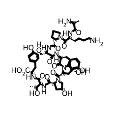 C[C@H](N)C(=O)N[C@@H](CCCCN)C(=O)N1CCC[C@H]1C(=O)N[C@@H](CO)C(=O)N[C@@H](Cc1ccc(O)cc1)C(=O)N1C[C@H](O)C[C@H]1C(=O)N1C[C@H](O)C[C@H]1C(=O)N[C@H](C(=O)N[C@@H](Cc1ccc(O)cc1)C(=O)O)[C@@H](C)O